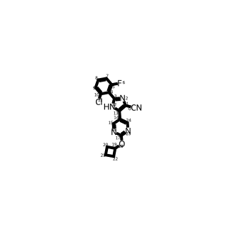 N#Cc1nc(-c2c(F)cccc2Cl)[nH]c1-c1cnc(OC2CCC2)nc1